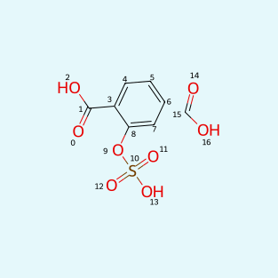 O=C(O)c1ccccc1OS(=O)(=O)O.O=CO